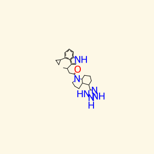 CC(CC(=O)N1CCCC2C(C3=NNNN3)CCCC21)c1c[nH]c2cccc(C3CC3)c12